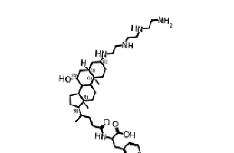 CC(CCC(=O)NC(Cc1ccccc1)C(=O)O)[C@H]1CCC2C3C(CC[C@@]21C)[C@@]1(C)CC[C@H](NCCNCCNCCN)C[C@H]1C[C@H]3O